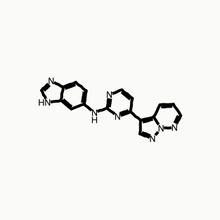 c1cnn2ncc(-c3ccnc(Nc4ccc5nc[nH]c5c4)n3)c2c1